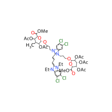 CCN1C(=CC=Cc2n(CCCO[C@@H]3OC(C(=O)OC)[C@@H](OC(C)=O)[C@@H](OC(C)=O)C3OC(C)=O)c3cc(Cl)c(Cl)cc3[n+]2CCCO[C@H]2OC(C(=O)OC)[C@H](OC(C)=O)[C@H](C)C2OC(C)=O)N(CC)c2cc(Cl)c(Cl)cc21